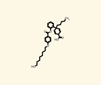 CCCCCC1(c2ccccc2OC(=O)c2ccc(OCCCCCCCCO)cc2)C=CC(C(=O)O)C=C1